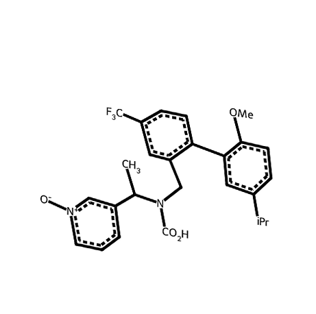 COc1ccc(C(C)C)cc1-c1ccc(C(F)(F)F)cc1CN(C(=O)O)C(C)c1ccc[n+]([O-])c1